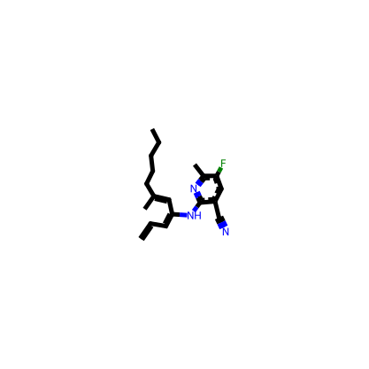 C=C/C=C(\C=C(/C)CCCCC)Nc1nc(C)c(F)cc1C#N